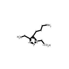 NCCCc1c(CN)nnn1CC(=O)O